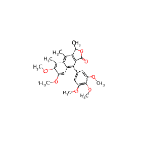 COc1cc(-c2c3c(c(C)c4c(C)c(OC)c(OC)cc24)C(C)OC3=O)cc(OC)c1OC